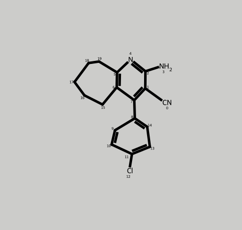 N#Cc1c(N)nc2c(c1-c1ccc(Cl)cc1)CCCCC2